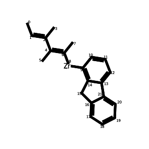 C/C=C(C)/C(C)=[C](\C)[Zr][c]1cccc2c1Cc1ccccc1-2